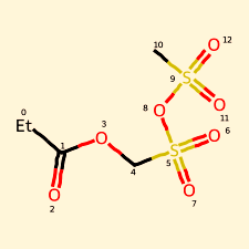 CCC(=O)OCS(=O)(=O)OS(C)(=O)=O